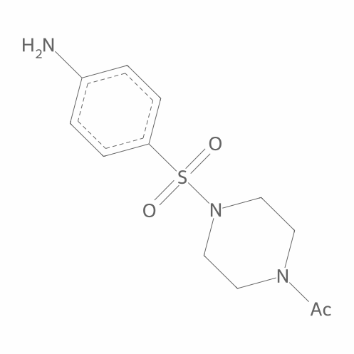 CC(=O)N1CCN(S(=O)(=O)c2ccc(N)cc2)CC1